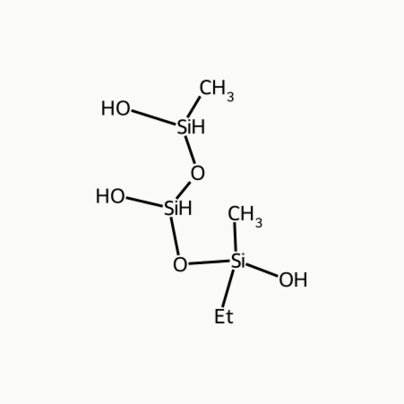 CC[Si](C)(O)O[SiH](O)O[SiH](C)O